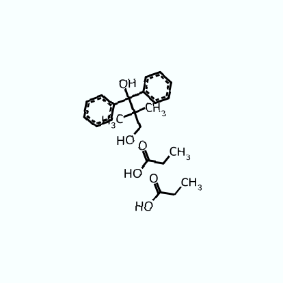 CC(C)(CO)C(O)(c1ccccc1)c1ccccc1.CCC(=O)O.CCC(=O)O